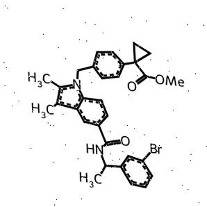 COC(=O)C1(c2ccc(Cn3c(C)c(C)c4cc(C(=O)NC(C)c5cccc(Br)c5)ccc43)cc2)CC1